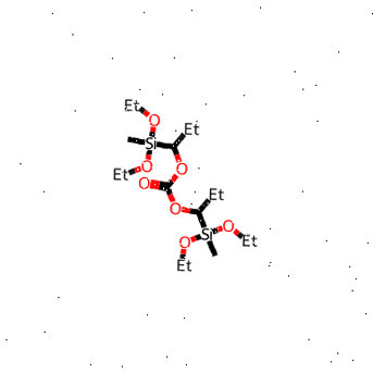 CCO[Si](C)(OCC)C(CC)OC(=O)OC(CC)[Si](C)(OCC)OCC